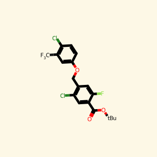 CC(C)(C)OC(=O)c1cc(Cl)c(COc2ccc(Cl)c(C(F)(F)F)c2)cc1F